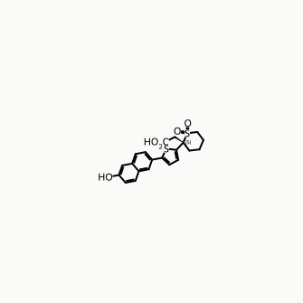 O=C(O)C[C@]1(c2ccc(-c3ccc4cc(O)ccc4c3)s2)CCCCS1(=O)=O